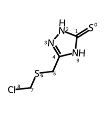 S=c1[nH]nc(CSCCl)[nH]1